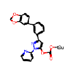 CC(C)(C)OC(=O)Oc1cc(-c2cccc(-c3ccc4c(c3)OCO4)c2)nn1-c1ccccn1